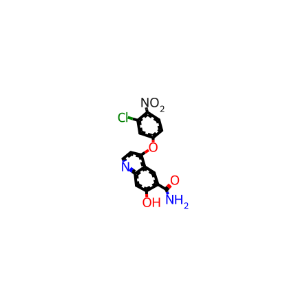 NC(=O)c1cc2c(Oc3ccc([N+](=O)[O-])c(Cl)c3)ccnc2cc1O